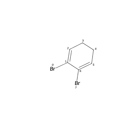 BrC1=CCCC=C1Br